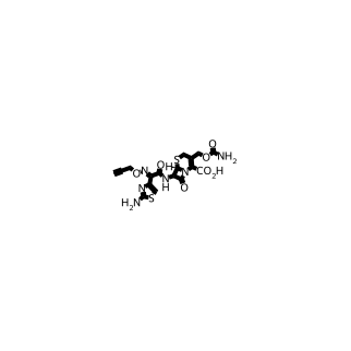 C#CCO/N=C(/C(=O)NC1C(=O)N2C(C(=O)O)=C(COC(N)=O)CS[C@H]12)c1csc(N)n1